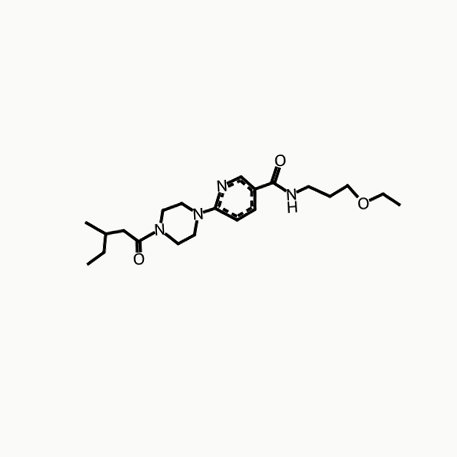 CCOCCCNC(=O)c1ccc(N2CCN(C(=O)CC(C)CC)CC2)nc1